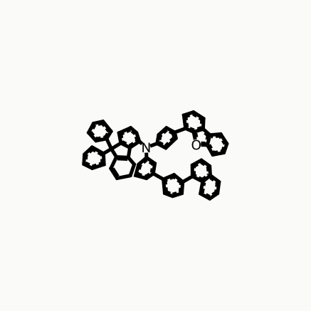 C1=CC2=C(CC1)c1c(N(c3ccc(-c4cccc5c4oc4ccccc45)cc3)c3cccc(-c4cccc(-c5cccc6ccccc56)c4)c3)cccc1C2(c1ccccc1)c1ccccc1